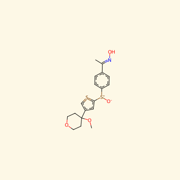 COC1(c2csc([S+]([O-])c3ccc(/C(C)=N/O)cc3)c2)CCOCC1